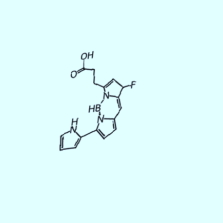 O=C(O)CCC1=CC(F)C2=Cc3ccc(-c4ccc[nH]4)n3BN12